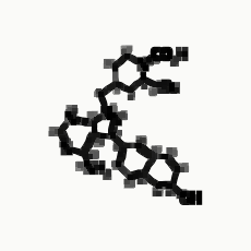 CC(C)(C)C1CC(Cn2nc(-c3ccc4cc(O)ccc4c3)c3c(N)ncnc32)CCN1C(=O)O